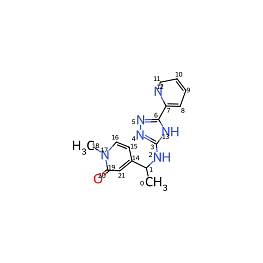 CC(Nc1nnc(-c2ccccn2)[nH]1)c1ccn(C)c(=O)c1